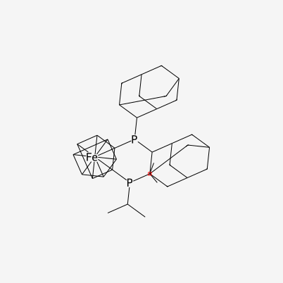 CC(C)P(C(C)C)[C]12[CH]3[CH]4[CH]5[C]1(P(C1C6CC7CC(C6)CC1C7)C1C6CC7CC(C6)CC1C7)[Fe]43521678[CH]2[CH]1[CH]6[CH]7[CH]28